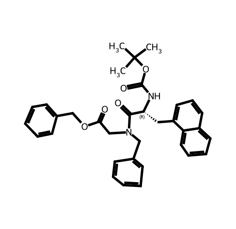 CC(C)(C)OC(=O)N[C@H](Cc1cccc2ccccc12)C(=O)N(CC(=O)OCc1ccccc1)Cc1ccccc1